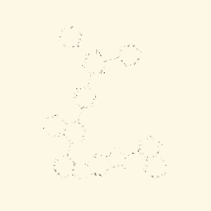 c1ccc(-c2nc(-c3ccccc3)nc(-c3ccc(-c4ccc(-c5cccc6oc7cc8nc(-c9ccnc%10cccnc9%10)oc8cc7c56)c5ccccc45)cc3)n2)cc1